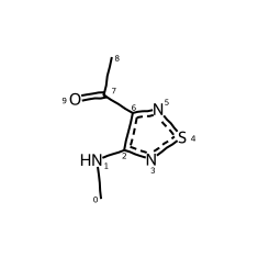 CNc1nsnc1C(C)=O